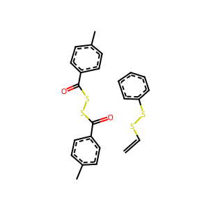 C=CSSc1ccccc1.Cc1ccc(C(=O)SSC(=O)c2ccc(C)cc2)cc1